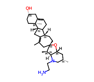 CC1=C2C[C@H]3C(CC=C4C[C@@H](O)CC[C@@]43C)[C@@H]2CC[C@@]2(C1)O[C@@H]1C[C@H](C)CN(CCN)[C@H]1[C@H]2C